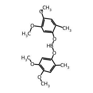 COc1cc(C)c(OBOc2cc(OC)c(OC)cc2C)cc1OC